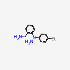 CCc1ccc(N(N)c2ccccc2CN)cc1